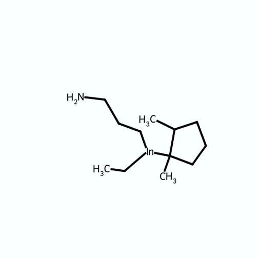 C[CH2][In]([CH2]CCN)[C]1(C)CCCC1C